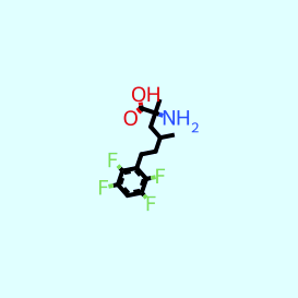 CC(CCc1c(F)c(F)cc(F)c1F)CC(C)(N)C(=O)O